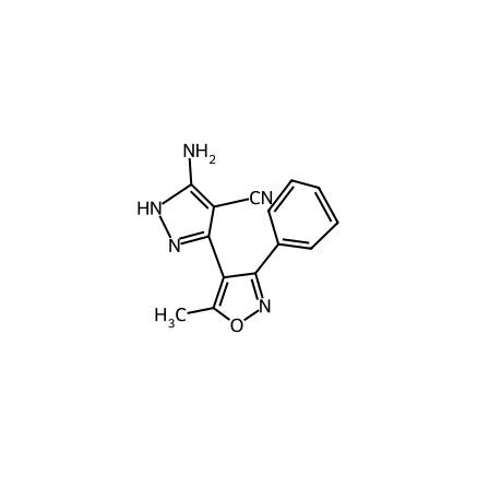 Cc1onc(-c2ccccc2)c1-c1n[nH]c(N)c1C#N